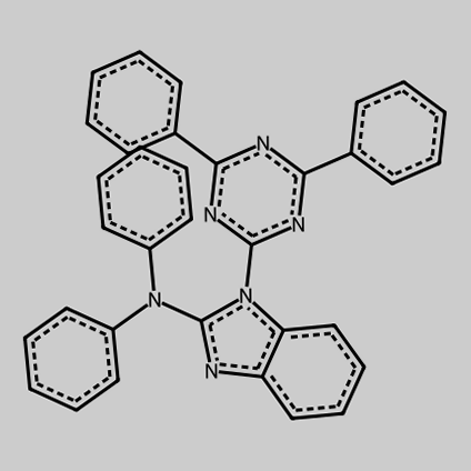 c1ccc(-c2nc(-c3ccccc3)nc(-n3c(N(c4ccccc4)c4ccccc4)nc4ccccc43)n2)cc1